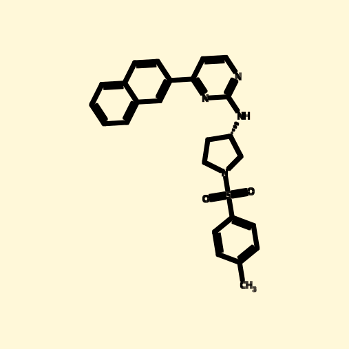 Cc1ccc(S(=O)(=O)N2CC[C@H](Nc3nccc(-c4ccc5ccccc5c4)n3)C2)cc1